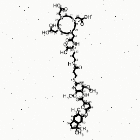 COc1nc(SCCC(=O)NCCC[C@@H](NC(=O)CN2CCN(CC(=O)O)CCN(CC(=O)O)CCN(CC(O)O)CC2)C(=O)O)nc(OC)c1NC(=O)c1ccc(Oc2cc3c(cc2C)CCC3(C)C)o1